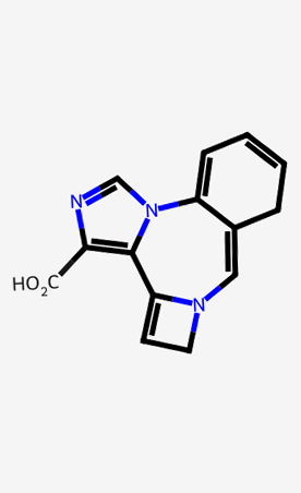 O=C(O)c1ncn2c1C1=CCN1C=C1CC=CC=C12